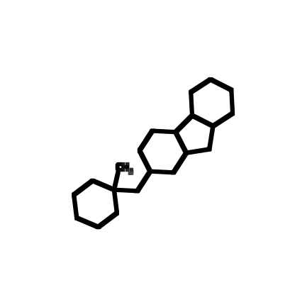 CC1(CC2CCC3C(C2)CC2CCCCC23)CCCCC1